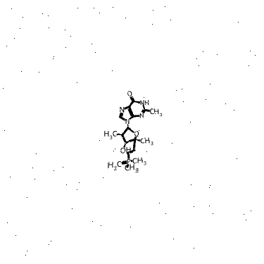 C=P(C)(C)CC[C@@]1(C)O[C@@H](n2cnc3c(=O)[nH]c(C)nc32)[C@H](C)[C@@H]1O